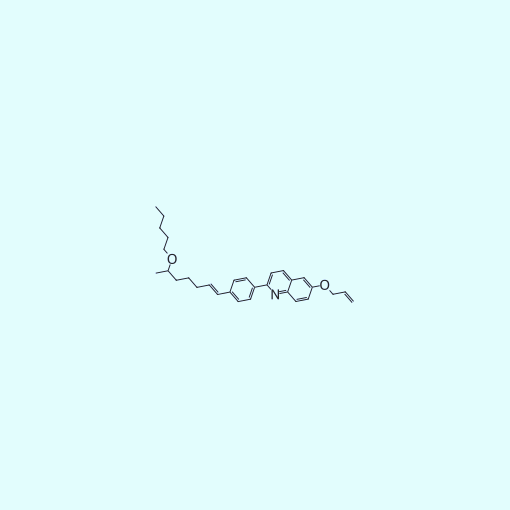 C=CCOc1ccc2nc(-c3ccc(/C=C/CCCC(C)OCCCCC)cc3)ccc2c1